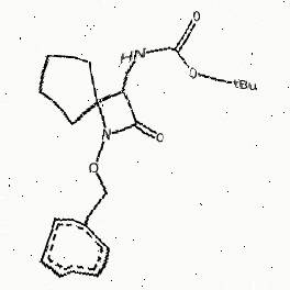 CC(C)(C)OC(=O)NC1C(=O)N(OCc2ccccc2)C12CCCC2